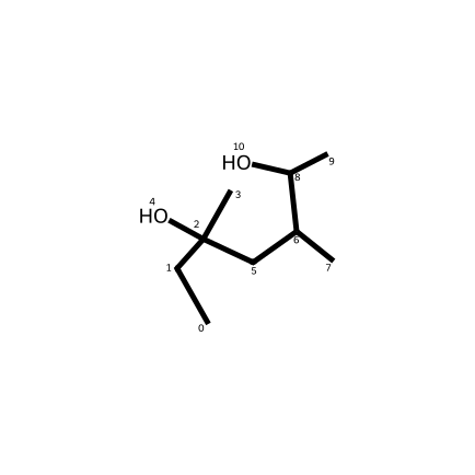 CCC(C)(O)CC(C)C(C)O